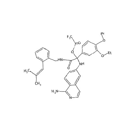 CCOc1cc(C(Nc2ccc3c(N)nccc3c2)(OC(=O)C(F)(F)F)C(=O)NCc2ccccc2C=C(C)C)ccc1OC(C)C